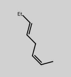 C/C=C\C/C=C/CC